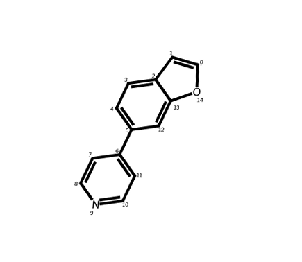 [c]1cc2ccc(-c3ccncc3)cc2o1